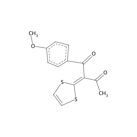 COc1ccc(C(=O)C(C(C)=O)=C2SC=CS2)cc1